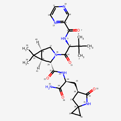 CC(C)(C)[C@H](NC(=O)c1cnccn1)C(=O)N1C[C@H]2[C@@H]([C@H]1C(=O)N[C@@H](C[C@@H]1CC3(CC3)NC1=O)C(N)=O)C2(C)C